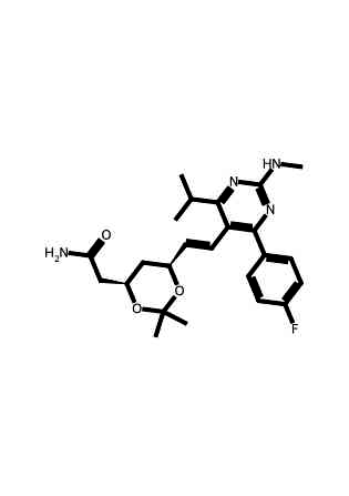 CNc1nc(-c2ccc(F)cc2)c(/C=C/[C@@H]2C[C@H](CC(N)=O)OC(C)(C)O2)c(C(C)C)n1